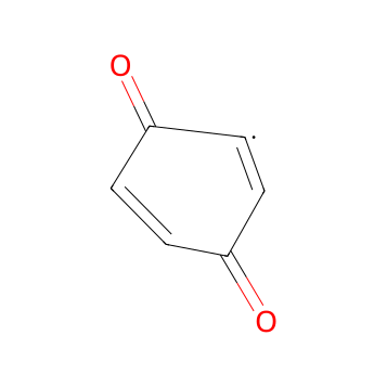 O=C1[C]=CC(=O)C=C1